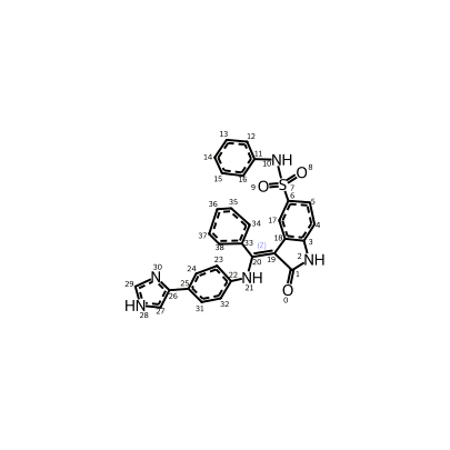 O=C1Nc2ccc(S(=O)(=O)Nc3ccccc3)cc2/C1=C(/Nc1ccc(-c2c[nH]cn2)cc1)c1ccccc1